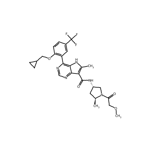 COCC(=O)N1C[C@@H](NC(=O)c2c(C)[nH]c3c(-c4cc(C(F)(F)F)ccc4OCC4CC4)ncnc23)C[C@@H]1C